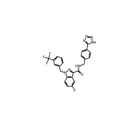 O=C(NCc1ccc(-c2nnn[nH]2)cc1)c1nn(Cc2cccc(C(F)(F)F)c2)c2ccc(F)cc12